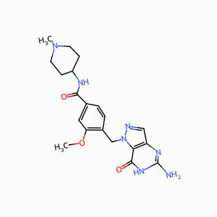 COc1cc(C(=O)NC2CCN(C)CC2)ccc1Cn1ncc2nc(N)[nH]c(=O)c21